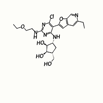 CCOCCNc1nc(Cl)c(-c2cc3cc(CC)ncc3o2)c(N[C@@H]2C[C@H](CO)[C@@H](O)[C@H]2O)n1